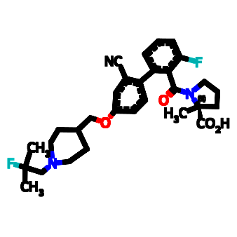 CC(C)(F)CN1CCC(COc2ccc(-c3cccc(F)c3C(=O)N3CCC[C@@]3(C)C(=O)O)c(C#N)c2)CC1